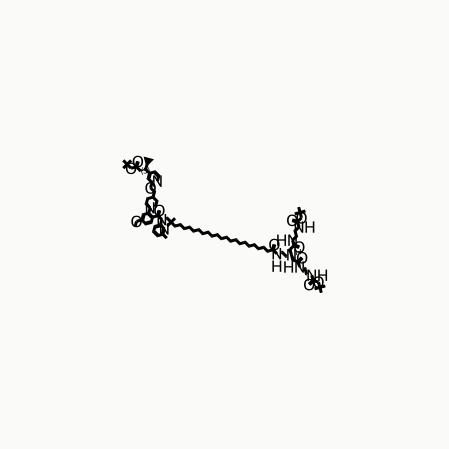 COc1ccc(C(=O)N(CC(C)(C)CCCCCCCCCCCCCCCCCCCCCC(=O)NCC[N+](C)(CC(=O)NCCNC(=O)OC(C)(C)C)CC(=O)NCCNC(=O)OC(C)(C)C)c2cccc(C)n2)c(N2CCC(COc3cc([C@@H](CC(=O)OC(C)(C)C)C4CC4)ccn3)CC2)c1